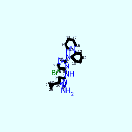 Nn1nc(Nc2nc(Nc3ccccc3N3CCCCC3)ncc2Br)cc1C1CC1